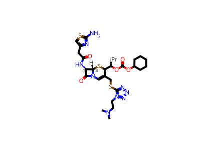 CC(C)C(OC(=O)OC1CCCCC1)C1S[C@H]2[C@H](NC(=O)Cc3csc(N)n3)C(=O)N2C=C1CSc1nnnn1CCN(C)C